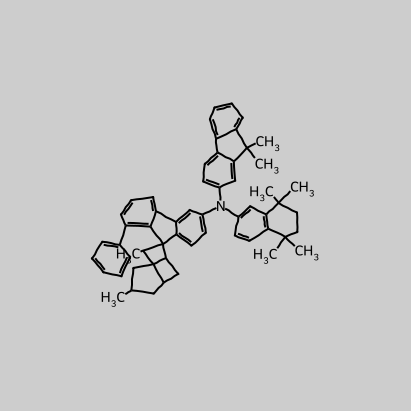 CC1CC2CC3C4(c5ccc(N(c6ccc7c(c6)C(C)(C)CCC7(C)C)c6ccc7c(c6)C(C)(C)c6ccccc6-7)cc5-c5cccc(-c6ccccc6)c54)C(C)C23C1